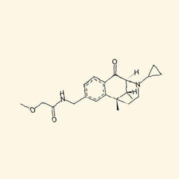 COCC(=O)NCc1ccc2c(c1)[C@@]1(C)CCN(C3CC3)[C@H](C2=O)[C@@H]1C